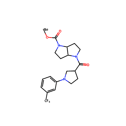 CC(C)(C)OC(=O)N1CCC2C1CCN2C(=O)C1CCN(c2cccc(C(F)(F)F)c2)C1